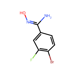 N/C(=N\O)c1ccc(Br)c(F)c1